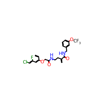 C=C/C(=C\C(F)=C\Cl)OCC(=O)NCCC(=C)C(=O)NCc1cccc(OC(F)(F)F)c1